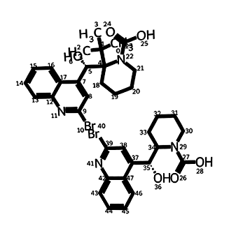 CC(C)(C)C1([C@@H](O)c2cc(Br)nc3ccccc23)CCCCN1C(=O)O.O=C(O)N1CCCCC1[C@H](O)c1cc(Br)nc2ccccc12